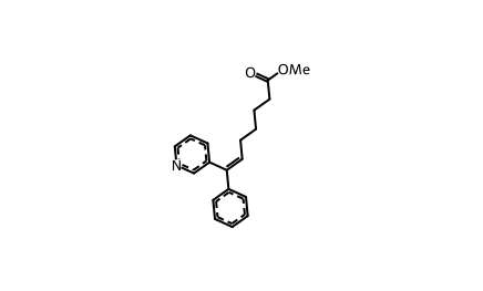 COC(=O)CCCC/C=C(/c1ccccc1)c1cccnc1